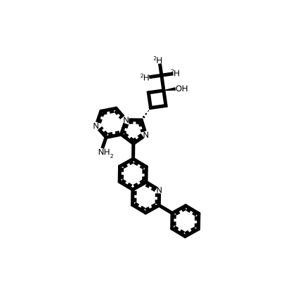 [2H]C([2H])([2H])[C@]1(O)C[C@H](c2nc(-c3ccc4ccc(-c5ccccc5)nc4c3)c3c(N)nccn32)C1